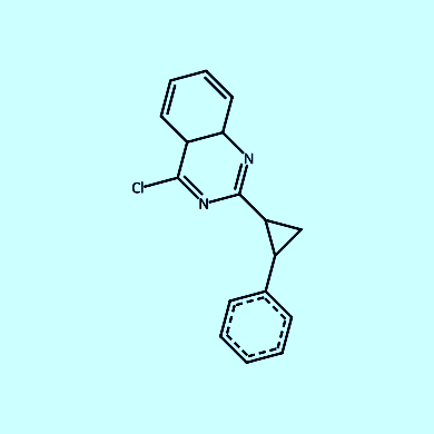 ClC1=NC(C2CC2c2ccccc2)=NC2C=CC=CC12